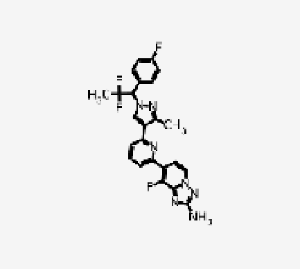 Cc1nn(C(c2ccc(F)cc2)C(C)(F)F)cc1-c1cccc(-c2ccn3nc(N)nc3c2F)n1